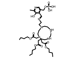 CCCCOC(=O)CN1CCN(CCN=Cc2c(COP(=O)(O)O)cnc(C)c2O)CCNCCNCC1(CC(=O)OCCCC)CC(=O)OCCCC